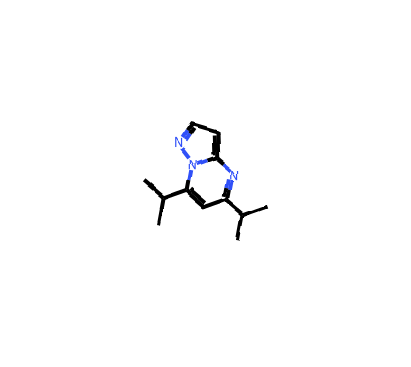 CC(C)c1cc(C(C)C)n2nccc2n1